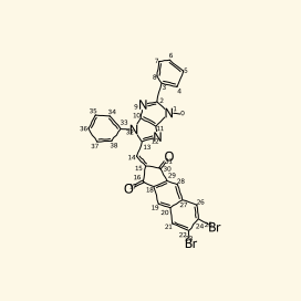 Cn1c(-c2ccccc2)nc2c1nc(C=C1C(=O)c3cc4cc(Br)c(Br)cc4cc3C1=O)n2-c1ccccc1